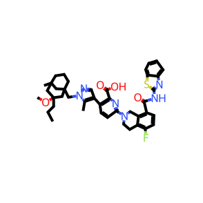 CCCC1(OC)CC2(C)CCCC(Cn3ncc(-c4ccc(N5CCc6c(F)ccc(C(=O)Nc7nc8ccccc8s7)c6C5)nc4C(=O)O)c3C)(C2)C1